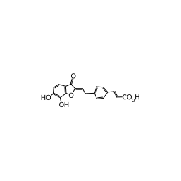 O=C(O)C=Cc1ccc(CC=C2Oc3c(ccc(O)c3O)C2=O)cc1